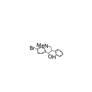 CNCC(c1ccccc1)[C@H](O)c1ccc(Br)cc1